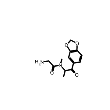 CC(C(=O)c1ccc2c(c1)OCO2)N(C)C(=O)CN